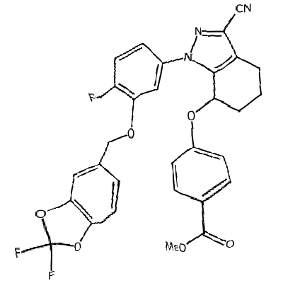 COC(=O)c1ccc(OC2CCCc3c(C#N)nn(-c4ccc(F)c(OCc5ccc6c(c5)OC(F)(F)O6)c4)c32)cc1